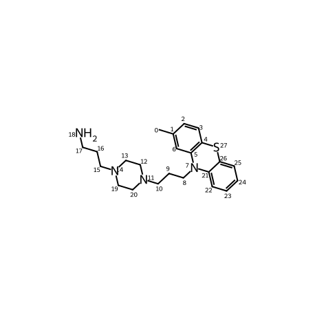 Cc1ccc2c(c1)N(CCCN1CCN(CCCN)CC1)c1ccccc1S2